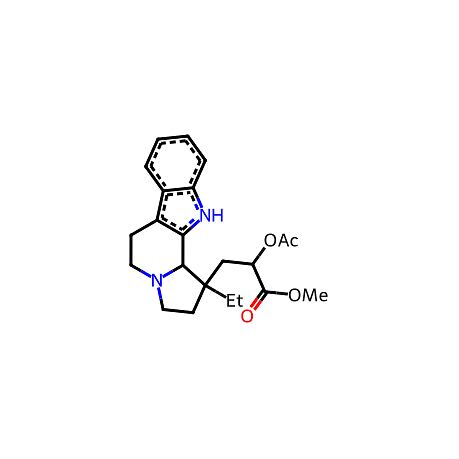 CCC1(CC(OC(C)=O)C(=O)OC)CCN2CCc3c([nH]c4ccccc34)C21